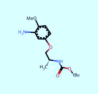 COc1ccc(OC[C@@H](C)NC(=O)OC(C)(C)C)cc1N